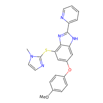 COc1ccc(Oc2cc(Sc3nccn3C)c3nc(-c4ccccn4)[nH]c3c2)cc1